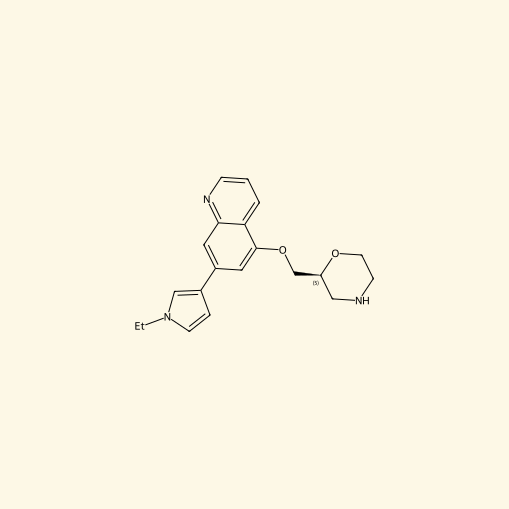 CCn1ccc(-c2cc(OC[C@@H]3CNCCO3)c3cccnc3c2)c1